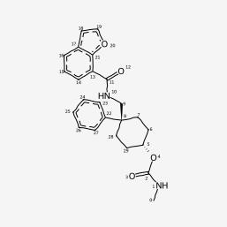 CNC(=O)O[C@H]1CC[C@@](CNC(=O)c2cccc3ccoc23)(c2ccccc2)CC1